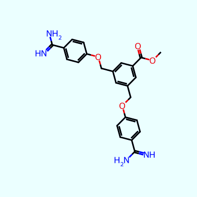 COC(=O)c1cc(COc2ccc(C(=N)N)cc2)cc(COc2ccc(C(=N)N)cc2)c1